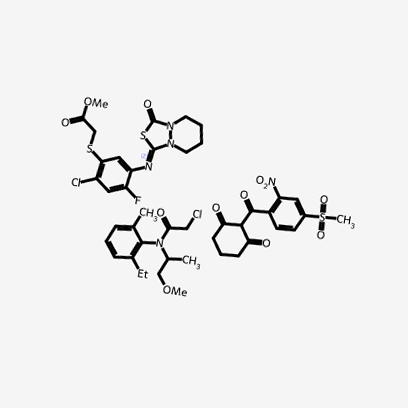 CCc1cccc(C)c1N(C(=O)CCl)C(C)COC.COC(=O)CSc1cc(/N=c2\sc(=O)n3n2CCCC3)c(F)cc1Cl.CS(=O)(=O)c1ccc(C(=O)C2C(=O)CCCC2=O)c([N+](=O)[O-])c1